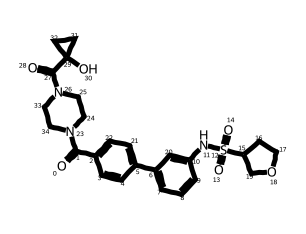 O=C(c1ccc(-c2cccc(NS(=O)(=O)C3CCOC3)c2)cc1)N1CCN(C(=O)C2(O)CC2)CC1